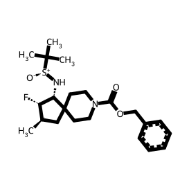 C[C@@H]1CC2(CCN(C(=O)OCc3ccccc3)CC2)[C@@H](N[S@+]([O-])C(C)(C)C)[C@H]1F